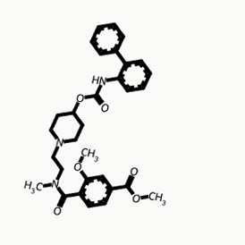 COC(=O)c1ccc(C(=O)N(C)CCN2CCC(OC(=O)Nc3ccccc3-c3ccccc3)CC2)c(OC)c1